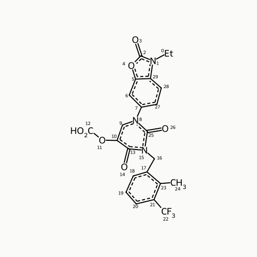 CCn1c(=O)oc2cc(-n3cc(OC(=O)O)c(=O)n(Cc4cccc(C(F)(F)F)c4C)c3=O)ccc21